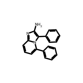 Nc1nc2cccc(-c3ccccc3)n2c1-c1ccccc1